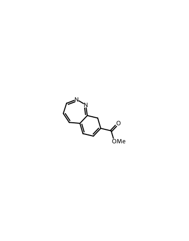 COC(=O)C1=CC=C2C=CC=NN=C2C1